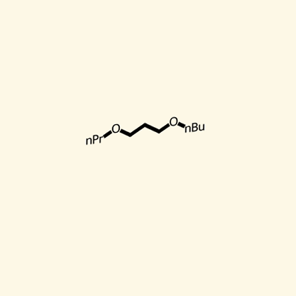 [CH2]CCOCCCOCCCC